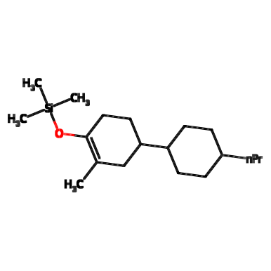 CCCC1CCC(C2CCC(O[Si](C)(C)C)=C(C)C2)CC1